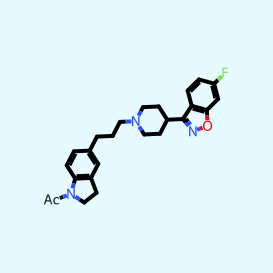 CC(=O)N1CCc2cc(CCCN3CCC(c4noc5cc(F)ccc45)CC3)ccc21